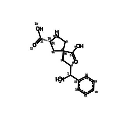 NC(CC[C@]1(C(=O)O)CN[C@@H](C(=O)O)C1)c1ccccc1